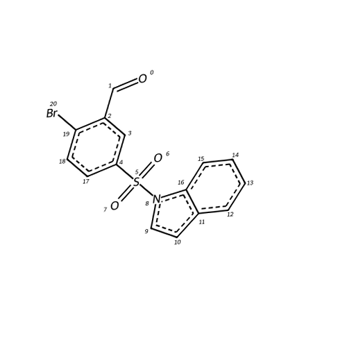 O=Cc1cc(S(=O)(=O)n2ccc3ccccc32)ccc1Br